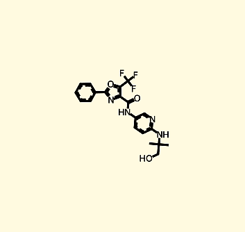 CC(C)(CO)Nc1ccc(NC(=O)c2nc(-c3ccccc3)oc2C(F)(F)F)cn1